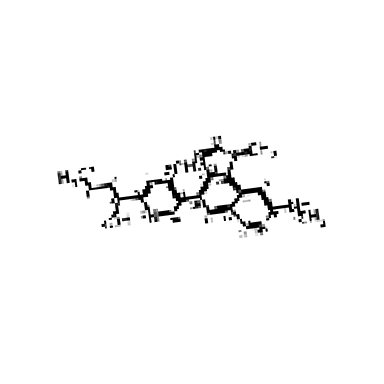 CCC[C@H](O)c1cc(C)c(-c2cc3cnc(NC)cc3c3c2ncn3C)cn1